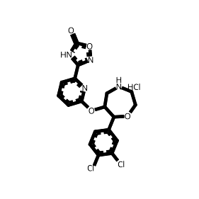 Cl.O=c1[nH]c(-c2cccc(OC3CNCCOC3c3ccc(Cl)c(Cl)c3)n2)no1